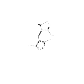 CCCCC1=NNC(=O)/C1=C/c1c(CCCC)n[nH]c1O